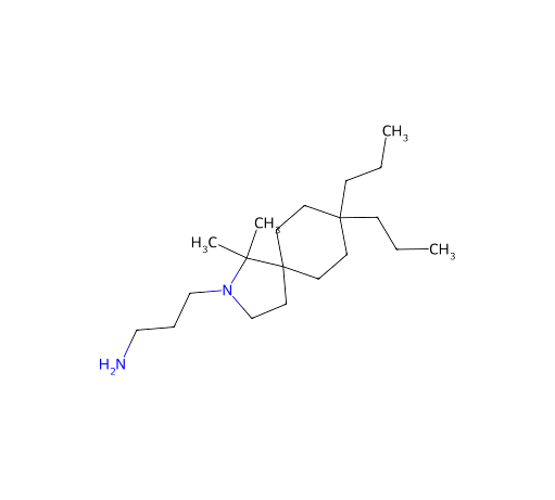 CCCC1(CCC)CCC2(CCN(CCCN)C2(C)C)CC1